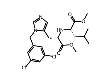 COC(=O)[C@H](Cc1cncn1Cc1cc(Cl)cc(Cl)c1)N[C@@H](CC(C)C)C(=O)OC